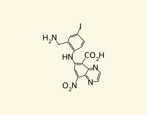 NCc1cc(I)ccc1Nc1cc([N+](=O)[O-])c2nccnc2c1C(=O)O